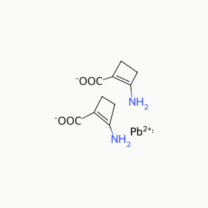 NC1=C(C(=O)[O-])CC1.NC1=C(C(=O)[O-])CC1.[Pb+2]